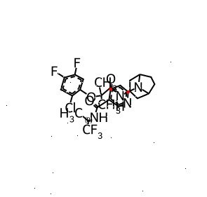 C[C@@H](NC(=O)c1ccc(N2C3CCC2CC(NC(=O)C(C)(C)Oc2cc(F)c(F)cc2Cl)C3)nc1)C(F)(F)F